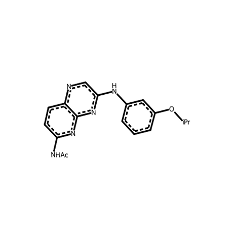 CC(=O)Nc1ccc2ncc(Nc3cccc(OC(C)C)c3)nc2n1